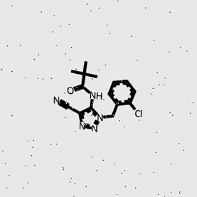 CC(C)(C)C(=O)Nc1c(C#N)nnn1Cc1ccccc1Cl